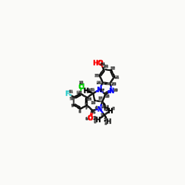 [2H]C([2H])([2H])N1C(=O)c2ccc(F)c(Cl)c2[C@H]2C[C@@H]1c1nc3ccc(O)cc3n12